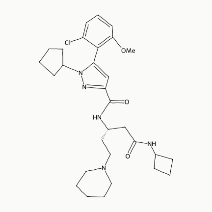 COc1cccc(Cl)c1-c1cc(C(=O)N[C@@H](CCN2CCCCC2)CC(=O)NC2CCC2)nn1C1CCCC1